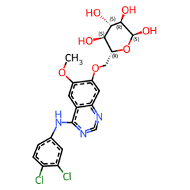 COc1cc2c(Nc3ccc(Cl)c(Cl)c3)ncnc2cc1OC[C@H]1O[C@H](O)[C@H](O)[C@@H](O)[C@@H]1O